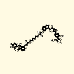 CN(C)C(=O)c1ccc(-c2cc(C(=O)N[C@@H]3CCc4ccc(OCC(=O)NCCCCCCNC(=O)COc5cccc6c5C(=O)N(C5CCC(=O)NC5=O)C6=O)cc43)no2)cc1O